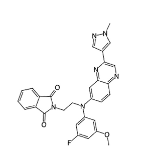 COc1cc(F)cc(N(CCN2C(=O)c3ccccc3C2=O)c2ccc3ncc(-c4cnn(C)c4)nc3c2)c1